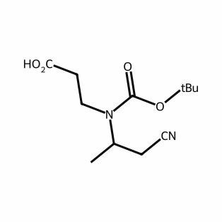 CC(CC#N)N(CCC(=O)O)C(=O)OC(C)(C)C